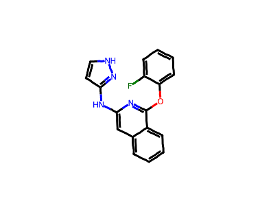 Fc1ccccc1Oc1nc(Nc2cc[nH]n2)cc2ccccc12